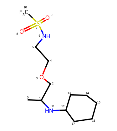 CC(COCCNS(=O)(=O)C(F)(F)F)NC1CCCCC1